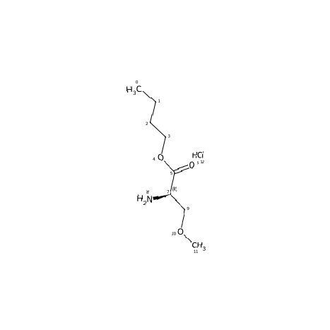 CCCCOC(=O)[C@H](N)COC.Cl